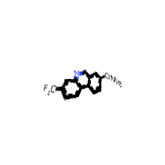 COc1ccc2c(cnc3cc(C(F)(F)F)ccc32)c1